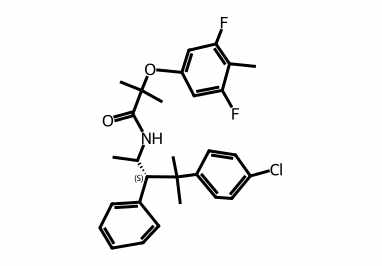 Cc1c(F)cc(OC(C)(C)C(=O)NC(C)[C@@H](c2ccccc2)C(C)(C)c2ccc(Cl)cc2)cc1F